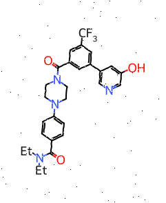 CCN(CC)C(=O)c1ccc(N2CCN(C(=O)c3cc(-c4cncc(O)c4)cc(C(F)(F)F)c3)CC2)cc1